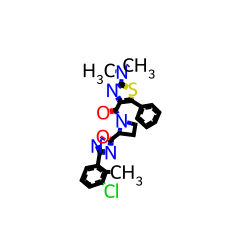 Cc1c(Cl)cccc1-c1noc(C2CCN2C(=O)c2nc(N(C)C)sc2-c2ccccc2)n1